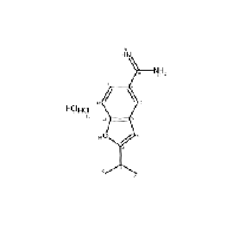 CC(C)c1cc2cc(C(=N)N)ccc2o1.Cl.Cl